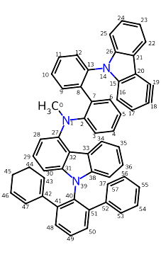 CN(c1ccccc1-c1ccccc1-n1c2ccc#cc2c2ccccc21)c1cccc2c1c1ccccc1n2-c1c(C2=CCCC=C2)cccc1-c1ccccc1